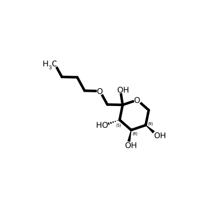 CCCCOCC1(O)OC[C@@H](O)[C@@H](O)[C@@H]1O